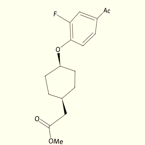 COC(=O)C[C@H]1CC[C@@H](Oc2ccc(C(C)=O)cc2F)CC1